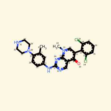 Cc1cc(Nc2ncc3c(=O)c(-c4c(Cl)cccc4Cl)cn(C)c3n2)ccc1N1CCNCC1